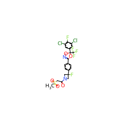 CS(=O)(=O)CC(=O)N1CC(F)(c2ccc(C3=NOC(c4cc(Cl)c(F)c(Cl)c4)(C(F)(F)F)O3)cc2)C1